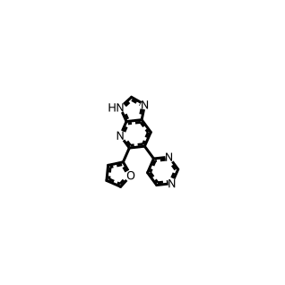 c1coc(-c2nc3[nH]cnc3cc2-c2ccncn2)c1